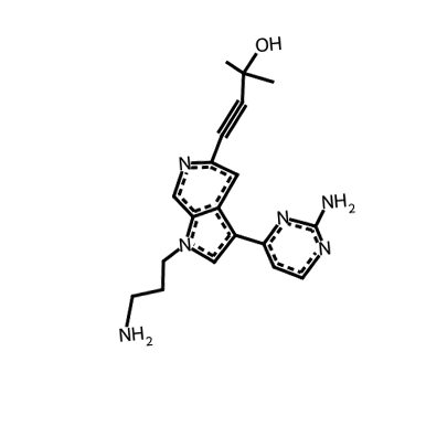 CC(C)(O)C#Cc1cc2c(-c3ccnc(N)n3)cn(CCCN)c2cn1